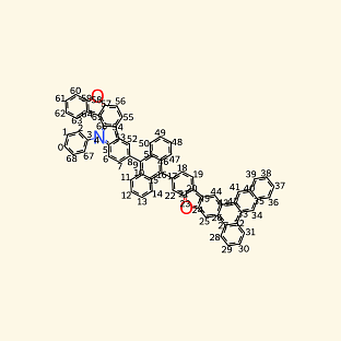 c1ccc(-n2c3ccc(-c4c5ccccc5c(-c5ccc6c(c5)oc5cc7c8ccccc8c8cc9ccccc9cc8c7cc56)c5ccccc45)cc3c3ccc4oc5ccccc5c4c32)cc1